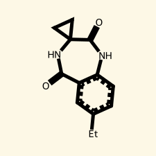 CCc1ccc2c(c1)C(=O)NC1(CC1)C(=O)N2